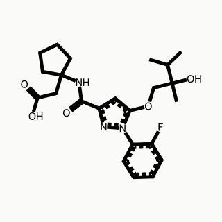 CC(C)C(C)(O)COc1cc(C(=O)NC2(CC(=O)O)CCCC2)nn1-c1ccccc1F